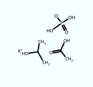 CC(=O)O.CC(C)O.O=P([O-])(O)O.[K+]